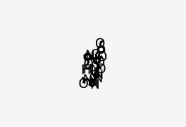 COc1cccnc1-c1cc(C(=O)Nc2nnc(-n3nccc3NC(C)=O)s2)oc(=O)c1OC1CCCC(OC)C1